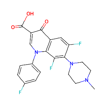 CN1CCN(c2c(F)cc3c(=O)c(C(=O)O)cn(-c4ccc(F)cc4)c3c2F)CC1